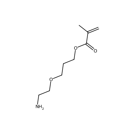 C=C(C)C(=O)OCCCOCCN